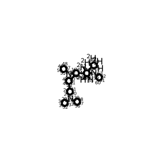 [2H]c1c([2H])c([2H])c2c(c1[2H])c1c([2H])c(-c3ccc4c(c3)c3cc(-c5ccc(N(c6ccccc6)c6ccccc6)cc5)ccc3n4-c3ccccc3)c([2H])c([2H])c1n2-c1ccccc1